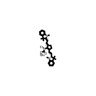 CCN(C(=O)OC(C)(C)C)C1=C(/C=C/C2=[N+](C)c3ccccc3C2(C)C)CC/C1=C\C=C1\N(C)c2ccccc2C1(C)C